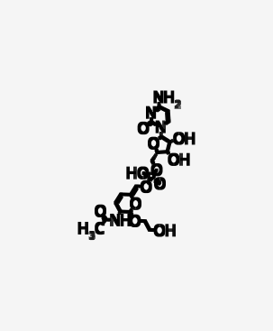 CC(=O)N[C@@H]1C=C/C(=C/OP(=O)(O)OC[C@H]2O[C@@H](n3ccc(N)nc3=O)[C@@H](O)C2O)OC1OCCO